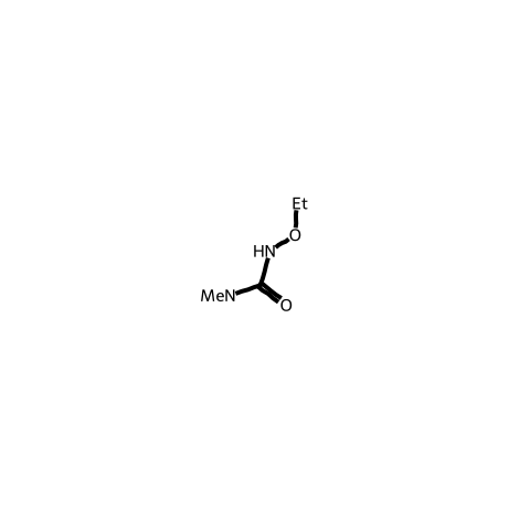 CCONC(=O)NC